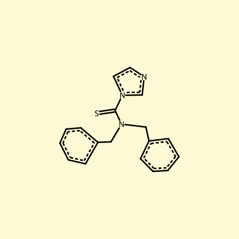 S=C(N(Cc1ccccc1)Cc1ccccc1)n1ccnc1